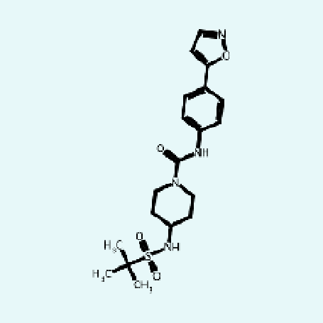 CC(C)(C)S(=O)(=O)NC1CCN(C(=O)Nc2ccc(-c3ccno3)cc2)CC1